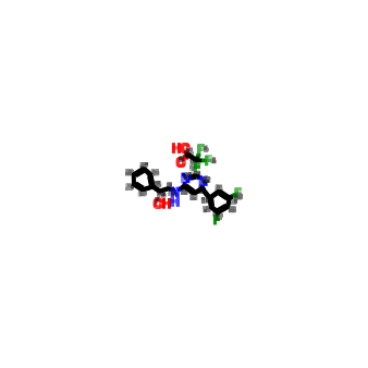 O=C(O)C(F)(F)F.O[C@@H](CNc1cc(-c2cc(F)cc(F)c2)ncn1)c1ccccc1